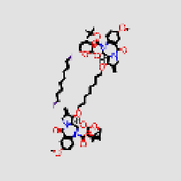 C=C1CN2C(=O)c3cc(OC)ccc3N(C(=O)OC(C)(C)C)[C@@H](OC3CCCCO3)[C@@H]2C1OCCCCCCCCOC1C(=C)CN2C(=O)c3cc(OC)ccc3N(C(=O)OC(C)(C)C)[C@@H](OC3CCCCO3)[C@H]12.ICCCCCCCCI